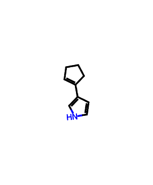 C1=C(c2cc[nH]c2)CCC1